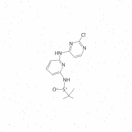 CC(C)(C)[S+]([O-])Nc1cccc(Nc2ccnc(Cl)n2)n1